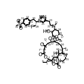 CC[C@H]1OC(=O)[C@H](C)C(=O)[C@H](C)[C@@H](O[C@@H]2O[C@H](C)C[C@H](N(C)CCc3cn([C@H](CF)Cc4ccc(S(C)(=O)=O)cc4)nn3)[C@H]2O)[C@](C)(OC)CC[C@@H](C)C2=NCCN3C(=O)O[C@@]1(C)C[C@H]3[C@H]2C